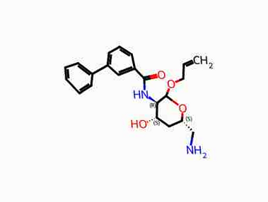 C=CCOC1O[C@H](CN)C[C@H](O)[C@H]1NC(=O)c1cccc(-c2ccccc2)c1